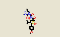 CCCN(C(=O)NC)C(=O)N(O)C(=O)C(C)(CCC(C)C)[S+]([O-])Cc1ccc(OC)cc1